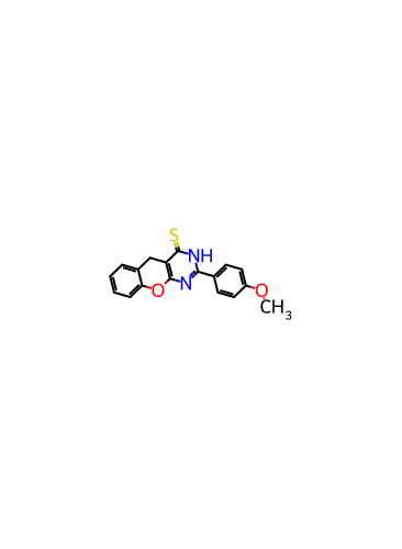 COc1ccc(-c2nc3c(c(=S)[nH]2)Cc2ccccc2O3)cc1